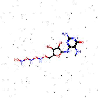 CNc1c(NC2OC(CONONONO)C(O)C2O)nc(N)[nH]c1=O